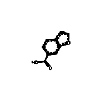 O=C(O)c1ccc2ccoc2c1